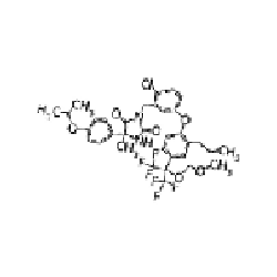 CCCc1cc(C(OCOC)(C(F)(F)F)C(F)(F)F)ccc1Oc1ccc(Cl)c(CN2C(=O)NC(C)(c3ccc(OC(C)C)cc3)C2=O)c1